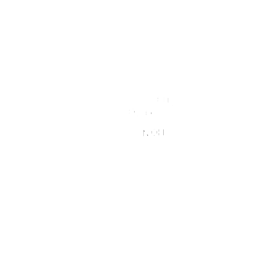 CCOC(=O)/C(CCc1ccc2ccccc2c1)=N\O